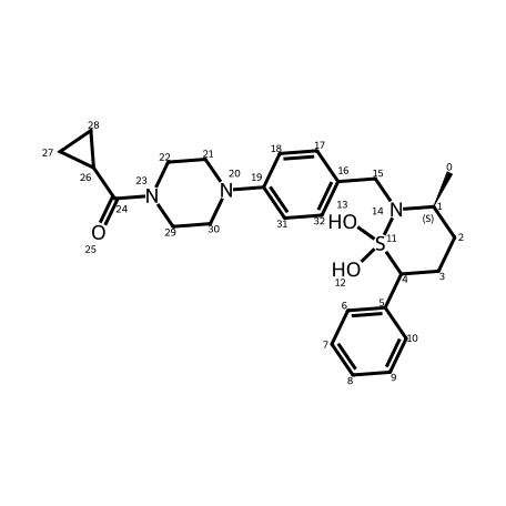 C[C@H]1CCC(c2ccccc2)S(O)(O)N1Cc1ccc(N2CCN(C(=O)C3CC3)CC2)cc1